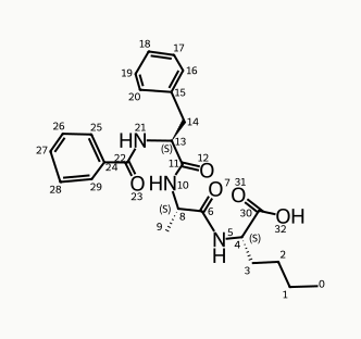 CCCC[C@H](NC(=O)[C@H](C)NC(=O)[C@H](Cc1ccccc1)NC(=O)c1ccccc1)C(=O)O